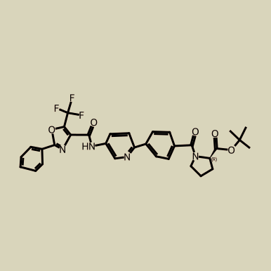 CC(C)(C)OC(=O)[C@H]1CCCN1C(=O)c1ccc(-c2ccc(NC(=O)c3nc(-c4ccccc4)oc3C(F)(F)F)cn2)cc1